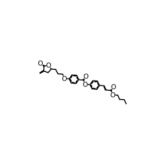 C=C1CC(CCCOc2ccc(C(=O)Oc3ccc(/C=C/C(=O)OCCCC)cc3)cc2)OC1=O